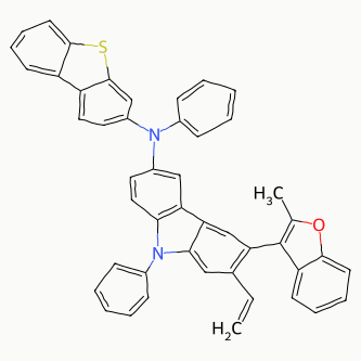 C=Cc1cc2c(cc1-c1c(C)oc3ccccc13)c1cc(N(c3ccccc3)c3ccc4c(c3)sc3ccccc34)ccc1n2-c1ccccc1